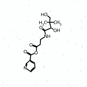 CC(C)(CO)[C@@H](O)C(=O)NCCC(=O)OC(=O)c1cccnc1